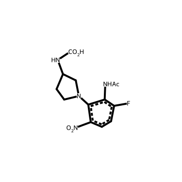 CC(=O)Nc1c(F)ccc([N+](=O)[O-])c1N1CCC(NC(=O)O)C1